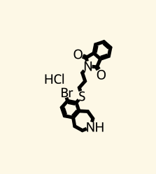 Cl.O=C1c2ccccc2C(=O)N1CCCSc1c(Br)ccc2c1CCNCC2